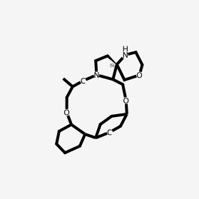 CC1COC2CCCCC2C2CCC(CC2)OCC2N(CC[C@@]23COCCN3)C1